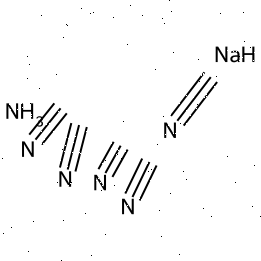 C#N.C#N.C#N.C#N.C#N.N.[NaH]